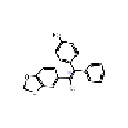 CC/C(=C(\c1ccccc1)c1ccc(O)cc1)c1ccc2c(c1)OCO2